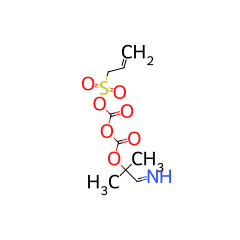 C=CCS(=O)(=O)OC(=O)OC(=O)OC(C)(C)C=N